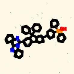 O[PH](c1ccccc1)(c1ccccc1)c1ccc(-c2ccc3c(c2)C(c2ccccc2)(c2ccccc2)c2cc(-c4nc5ccccc5c5nc6ccccc6n45)ccc2-3)cc1